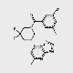 Cc1cc([C@H]2CN(C(=O)c3cc(F)cc(Br)c3)CC(F)(F)C2)n2ncnc2n1